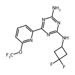 Nc1nc(NC2CC(F)(F)C2)nc(-c2cccc(OC(F)(F)F)n2)n1